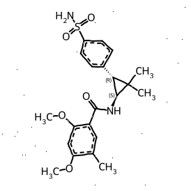 COc1cc(OC)c(C(=O)N[C@H]2[C@H](c3ccc(S(N)(=O)=O)cc3)C2(C)C)cc1C